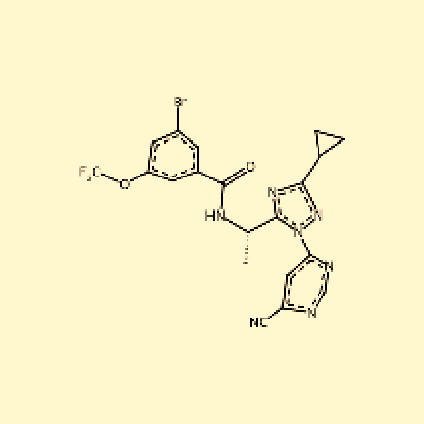 C[C@H](NC(=O)c1cc(Br)cc(OC(F)(F)F)c1)c1nc(C2CC2)nn1-c1cc(C#N)ncn1